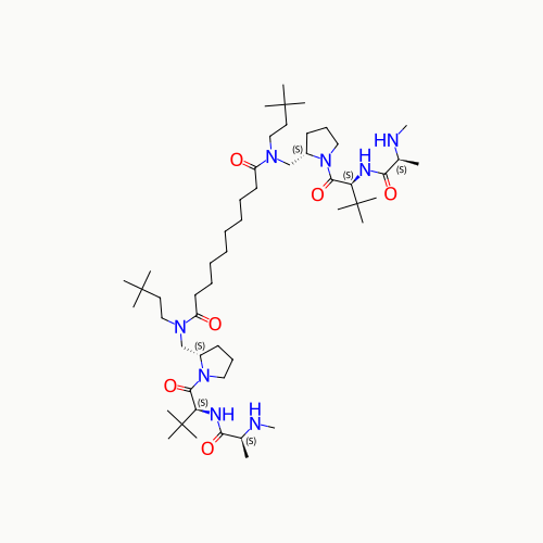 CN[C@@H](C)C(=O)N[C@H](C(=O)N1CCC[C@H]1CN(CCC(C)(C)C)C(=O)CCCCCCCCC(=O)N(CCC(C)(C)C)C[C@@H]1CCCN1C(=O)[C@@H](NC(=O)[C@H](C)NC)C(C)(C)C)C(C)(C)C